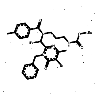 Cc1ccc(C(=O)N(CCCNC(=O)OC(C)(C)C)C(c2nc(C)c(Br)c(=O)n2Cc2ccccc2)C(C)C)cc1